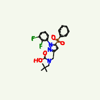 CC(C)(C)CN(Cc1cc(S(=O)(=O)c2ccccc2)n(-c2cccc(F)c2F)n1)C(=O)O